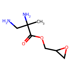 CC(N)(CN)C(=O)OCC1CO1